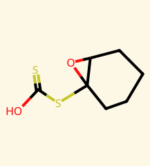 OC(=S)SC12CCCCC1O2